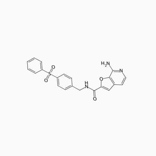 Nc1nccc2cc(C(=O)NCc3ccc(S(=O)(=O)c4ccccc4)cc3)oc12